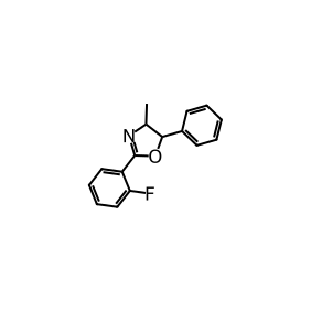 CC1N=C(c2ccccc2F)OC1c1ccccc1